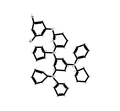 Brc1cc(Br)cc(OC2=NC(N(C3=CC(N(c4ccccc4)C4C=CC=CC4)CC(N(C4=CCCCC4)c4ccccc4)=C3)c3ccccc3)=CCC2)c1